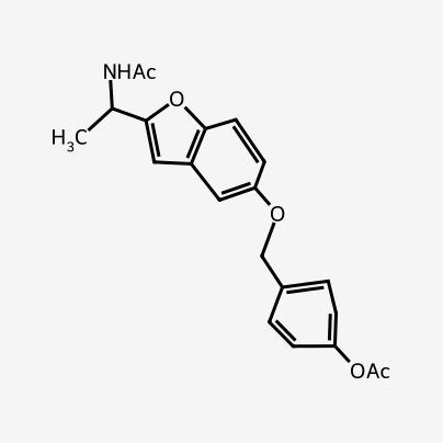 CC(=O)NC(C)c1cc2cc(OCc3ccc(OC(C)=O)cc3)ccc2o1